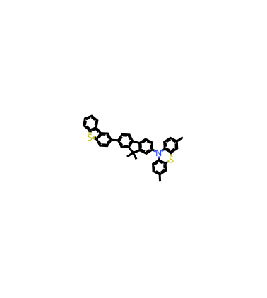 Cc1ccc2c(c1)Sc1cc(C)ccc1N2c1ccc2c(c1)C(C)(C)c1cc(-c3ccc4sc5ccccc5c4c3)ccc1-2